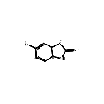 CCC1=CC2SC(=S)NC2C=C1